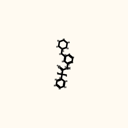 CC(C)(C(=O)Nc1cccc(CN2CCCCC2)c1)c1ccccc1